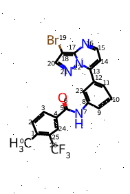 Cc1ccc(C(=O)Nc2cccc(-c3ccnc4c(Br)cnn34)c2)cc1C(F)(F)F